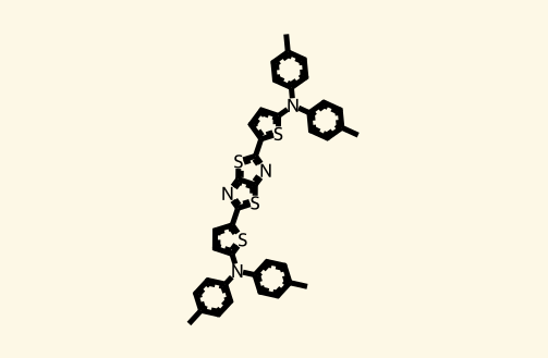 Cc1ccc(N(c2ccc(C)cc2)c2ccc(-c3nc4sc(-c5ccc(N(c6ccc(C)cc6)c6ccc(C)cc6)s5)nc4s3)s2)cc1